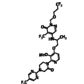 COc1c(OCC(C)Nc2cnn(COCCC(F)(F)F)c(=O)c2C(F)(F)F)ccnc1N1CCN(c2ncc(C(F)(F)F)cn2)CC1=O